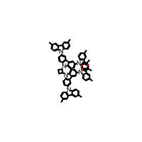 Cc1ccc2c(c1)c1cc(C)ccc1n2-c1ccc2c(c1)c1cc(-n3c4ccc(C)cc4c4cc(C)ccc43)ccc1n2C1CCC1n1c2ccc(-n3c4ccc(C)cc4c4cc(C)ccc43)cc2c2cc(-n3c4ccc(C)cc4c4cc(C)ccc43)ccc21